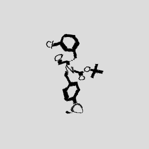 COc1ccc(CN(C(=O)OC(C)(C)C)[C@H](C=O)Cc2cccc(Cl)c2)cc1